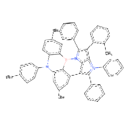 Cc1ccccc1-c1c(-c2ccccc2)n2c3c(c(-c4ccccc4)n(-c4ccccc4)c13)-c1cc(C(C)(C)C)cc3c1B2c1cc(C(C)(C)C)ccc1N3c1ccc(C(C)(C)C)cc1